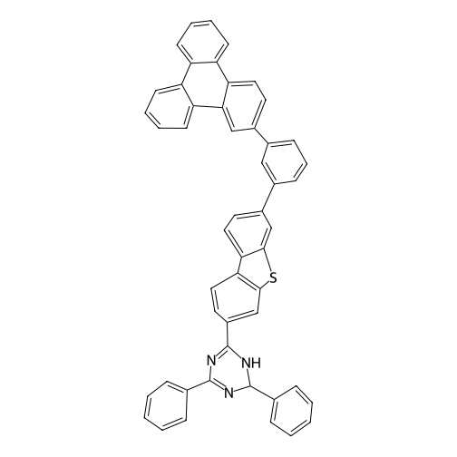 c1ccc(C2=NC(c3ccccc3)NC(c3ccc4c(c3)sc3cc(-c5cccc(-c6ccc7c8ccccc8c8ccccc8c7c6)c5)ccc34)=N2)cc1